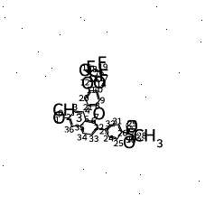 COc1ccc2c(Oc3ccc(OS(=O)(=O)C(F)(F)F)cc3)c(-c3ccc(S(C)(=O)=O)cc3)ccc2c1